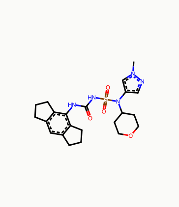 Cn1cc(N(C2CCOCC2)S(=O)(=O)NC(=O)Nc2c3c(cc4c2CCC4)CCC3)cn1